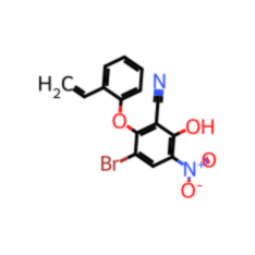 C=Cc1ccccc1Oc1c(Br)cc([N+](=O)[O-])c(O)c1C#N